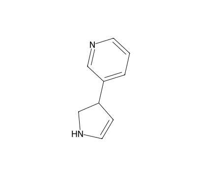 C1=CC(c2cccnc2)CN1